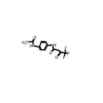 CC(=O)Nc1ccc(NC(=O)CC(=O)C(F)(F)F)cc1